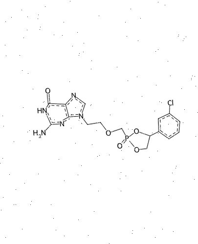 Nc1nc2c(ncn2CCOCP2(=O)OCC(c3cccc(Cl)c3)O2)c(=O)[nH]1